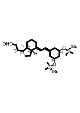 C[C@H](CC=O)[C@H]1CC[C@H]2/C(=C/C=C3C[C@@H](O[Si](C)(C)C(C)(C)C)C[C@H](O[Si](C)(C)C(C)(C)C)C3)CCC[C@]12C